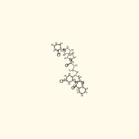 CC(CCSc1nc2ccccc2c(=O)n1-c1cccc(Cl)c1)CC(=O)N1CCC2(CCN(c3ccccc3Cl)C2)C1